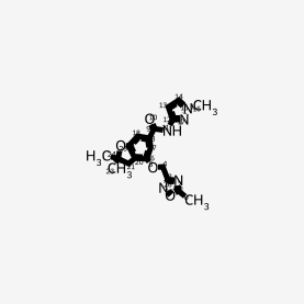 Cc1nc(COc2cc(C(=O)Nc3ccn(C)n3)cc3c2CC(C)(C)O3)no1